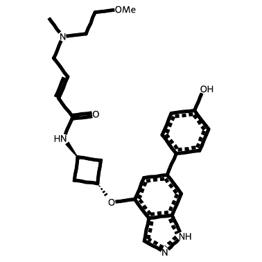 COCCN(C)C/C=C/C(=O)N[C@H]1C[C@H](Oc2cc(-c3ccc(O)cc3)cc3[nH]ncc23)C1